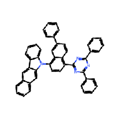 c1ccc(-c2ccc3c(-c4nc(-c5ccccc5)nc(-c5ccccc5)n4)ccc(-n4c5ccccc5c5cc6ccccc6cc54)c3c2)cc1